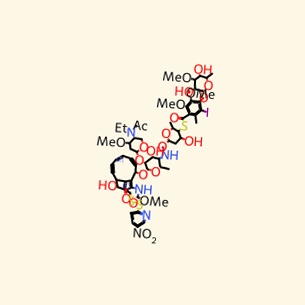 CCN(C(C)=O)C1COC(OC2C(OC3C#C/C=C\C#CC4(O)CC(=O)C(NC(=O)OC)=C3/C4=C\CSSc3ccc([N+](=O)[O-])cn3)OC(C)C(NOC3CC(O)C(SC(=O)c4c(C)c(I)c(OC5OC(C)C(O)C(OC)C5O)c(OC)c4OC)C(C)O3)C2O)CC1OC